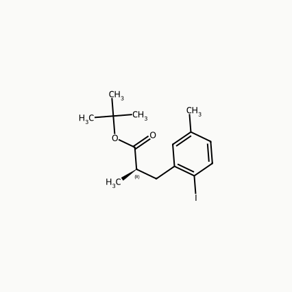 Cc1ccc(I)c(C[C@@H](C)C(=O)OC(C)(C)C)c1